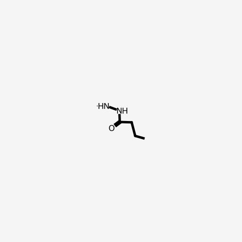 CCCC(=O)N[NH]